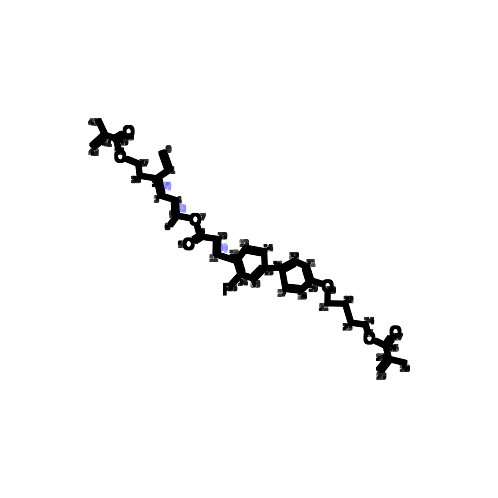 C=C/C(=C\C=C(/C)OC(=O)/C=C/c1ccc(-c2ccc(OCCCCOC(=O)C(=C)C)cc2)cc1F)CCOC(=O)C(=C)C